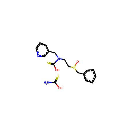 NC(O)=S.[O-][S+](CCN(Cc1cccnc1)C(O)=S)Cc1ccccc1